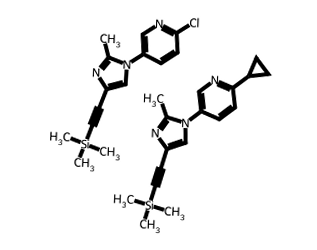 Cc1nc(C#C[Si](C)(C)C)cn1-c1ccc(C2CC2)nc1.Cc1nc(C#C[Si](C)(C)C)cn1-c1ccc(Cl)nc1